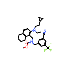 CCN(CCC1CC1)c1ccc2c(c1CN(Cc1cc(C#N)cc(C(F)(F)F)c1)C(=O)OC)CCCC2